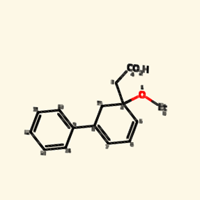 CCOC1(CC(=O)O)C=CC=C(c2ccccc2)C1